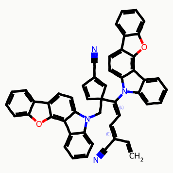 C=C/C(C#N)=C\C=C(\n1c2ccccc2c2c3oc4ccccc4c3ccc21)C1(Cn2c3ccccc3c3c4oc5ccccc5c4ccc32)C=CC(C#N)=C1